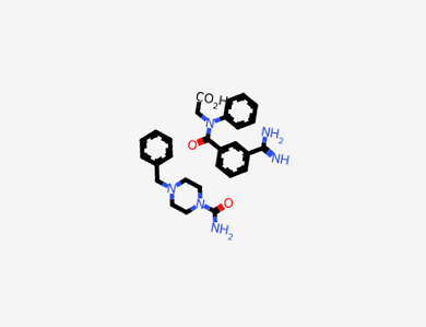 N=C(N)c1cccc(C(=O)N(CC(=O)O)c2ccccc2)c1.NC(=O)N1CCN(Cc2ccccc2)CC1